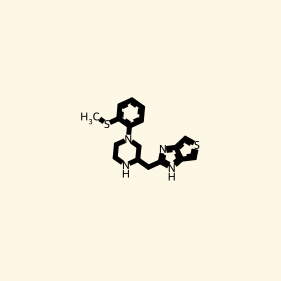 CSc1ccccc1N1CCNC(Cc2nc3cscc3[nH]2)C1